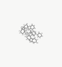 c1ccc(-c2nc(-c3cccc4c3C3(c5c-4ccc4oc6ccccc6c54)C4CC5CC(C4)CC3C5)nc(-c3cccc4sc5ccccc5c34)n2)cc1